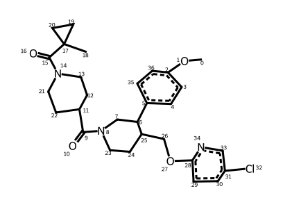 COc1ccc(C2CN(C(=O)C3CCN(C(=O)C4(C)CC4)CC3)CCC2COc2ccc(Cl)cn2)cc1